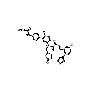 COC(=O)Nc1ccc(-c2cc([C@H](CC3CCN(C(C)=O)C3)NC(=O)/C=C/c3cc(Cl)ccc3-n3cnnn3)nnc2Cl)cc1